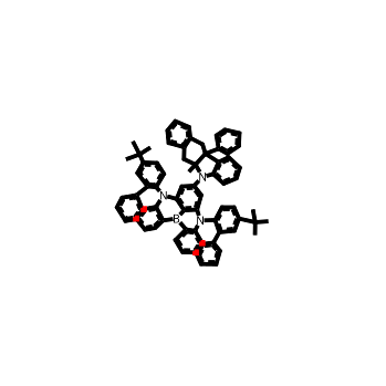 CC(C)(C)c1ccc(N2c3ccccc3B3c4ccccc4N(c4ccc(C(C)(C)C)cc4-c4ccccc4)c4cc(N5c6ccccc6C6(c7ccccc7)Cc7ccccc7CC56C)cc2c43)c(-c2ccccc2)c1